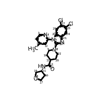 Cc1ccnc(-n2c(N3CCC(C(=O)N[C@@H]4CCOC4)CC3)nc3cc(Cl)c(Cl)cc32)c1